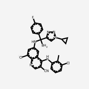 BC(Nc1cc(Cl)c2ncc(C#N)c(Nc3cccc(Cl)c3C)c2c1)(c1ccc(F)cc1)c1cn(C2CC2)nn1